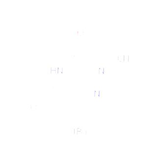 Cn1nc(C(C)(C)C)c(=O)[nH]c1=O